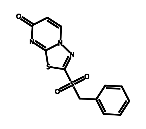 O=c1ccn2nc(S(=O)(=O)Cc3ccccc3)sc2n1